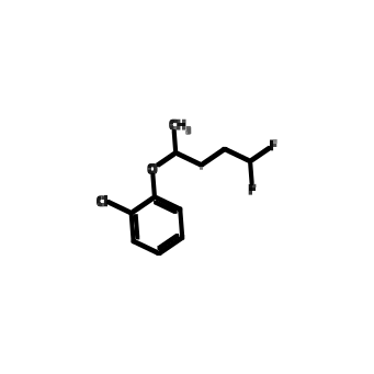 CC([CH]CC(F)F)Oc1ccccc1Cl